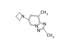 Cc1nc2c(C)cc(N3CCC3)cn2n1